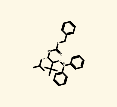 CC(C)C[C@H](NC(=O)OCc1ccccc1)C(O[SiH](c1ccccc1)c1ccccc1)C(C)(C)C